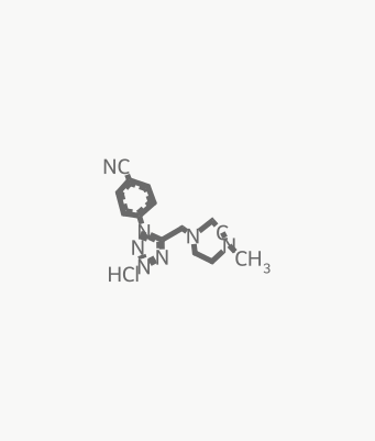 CN1CCN(Cc2nnnn2-c2ccc(C#N)cc2)CC1.Cl